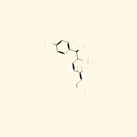 CC/C=C(O)\C=C/C(C)C(=O)c1ccc(O)cc1